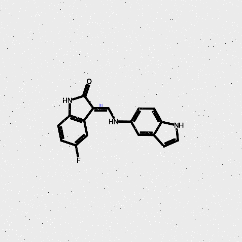 O=C1Nc2ccc(F)cc2/C1=C\Nc1ccc2[nH]ccc2c1